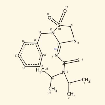 CC(C)N(C(=S)/N=C1\SCS(=O)(=O)N1Cc1ccccc1)C(C)C